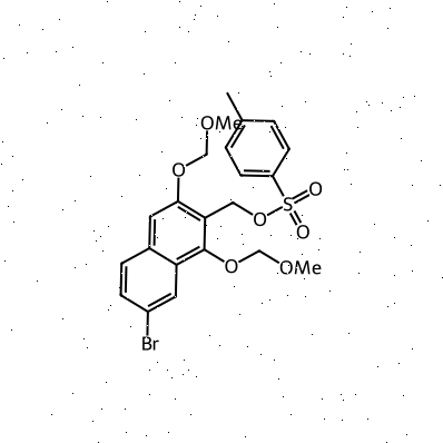 COCOc1cc2ccc(Br)cc2c(OCOC)c1COS(=O)(=O)c1ccc(C)cc1